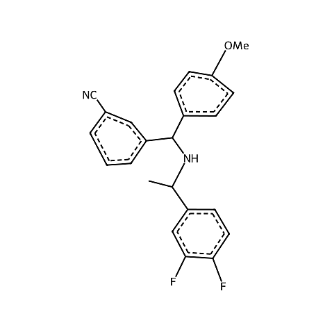 COc1ccc(C(NC(C)c2ccc(F)c(F)c2)c2cccc(C#N)c2)cc1